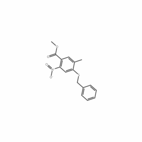 COC(=O)c1cc(C)c(SCc2ccccc2)cc1[N+](=O)[O-]